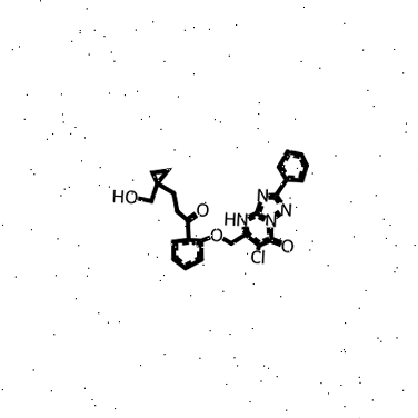 O=C(CCC1(CO)CC1)c1ccccc1OCc1[nH]c2nc(-c3ccccc3)nn2c(=O)c1Cl